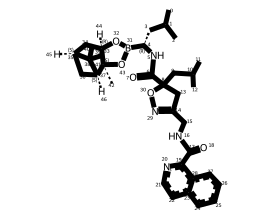 CC(C)C[C@H](NC(=O)C1(CC(C)C)CC(CNC(=O)c2nccc3ccccc23)=NO1)B1O[C@@H]2C[C@@H]3C[C@@H](C3(C)C)[C@]2(C)O1